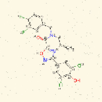 C=CCN(Cc1ccc(F)c(F)c1)C(=O)c1nc(-c2cc(Cl)c(O)c(Cl)c2)no1